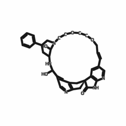 O=C1Nc2ncc3cc2[C@@]12Cc1cc(cnc1C2)C(O)NC1CC(c2ccccc2)CN(CCOCCOC/C=C/3)C1O